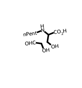 CCCCCNC(CO)C(=O)O.O=CCO